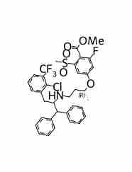 COC(=O)c1c(F)cc(O[C@H](C)CCNC(Cc2cccc(C(F)(F)F)c2Cl)C(c2ccccc2)c2ccccc2)cc1S(C)(=O)=O